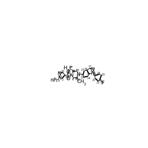 CCCn1cc(S(=O)(=O)N2C[C@H](C)N(c3ccc4c(cnn4-c4ccc(F)cc4)c3)C[C@@H]2C)cn1